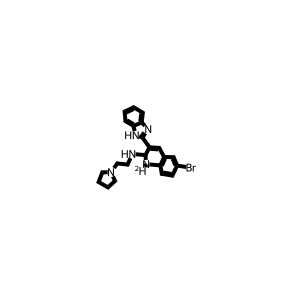 [2H]N1c2ccc(Br)cc2C=C(c2nc3ccccc3[nH]2)C1NCCN1CCCC1